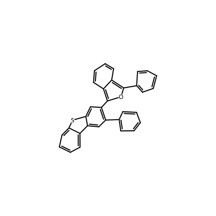 c1ccc(-c2cc3c(cc2-c2oc(-c4ccccc4)c4ccccc24)sc2ccccc23)cc1